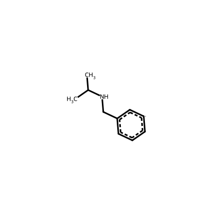 CC(C)NCc1c[c]ccc1